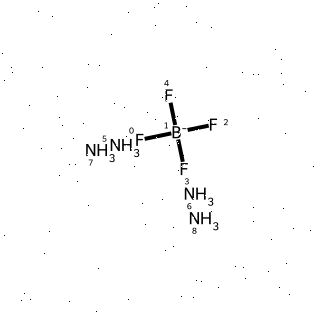 F[B-](F)(F)F.N.N.N.N